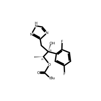 C[C@@H](OC(=O)C(C)(C)C)[C@@](O)(Cc1nc[nH]n1)c1cc(F)ccc1F